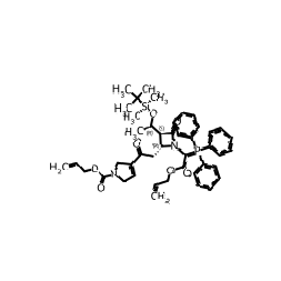 C=CCOC(=O)C(N1C(=O)[C@H]([C@@H](C)O[Si](C)(C)C(C)(C)C)[C@H]1CC(=O)C1=CCN(C(=O)OCC=C)C1)=P(c1ccccc1)(c1ccccc1)c1ccccc1